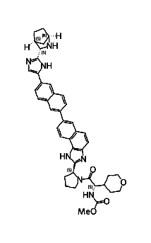 COC(=O)N[C@H](C(=O)N1CCC[C@H]1c1nc2ccc3cc(-c4ccc5cc(-c6cnc([C@H]7N[C@@H]8CC[C@H]7C8)[nH]6)ccc5c4)ccc3c2[nH]1)C1CCOCC1